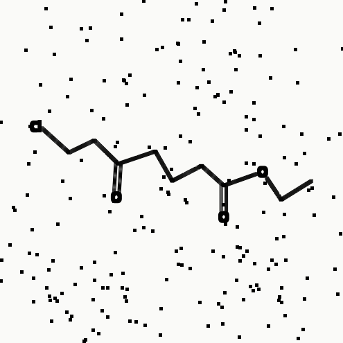 CCOC(=O)CCCC(=O)CCCl